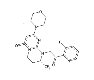 C[C@@H]1COCCN1c1cc(=O)n2c(n1)N(CC(=O)c1ncccc1F)[C@H](C(F)(F)F)CC2